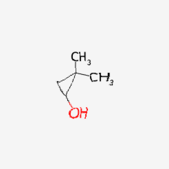 CC1(C)CC1O